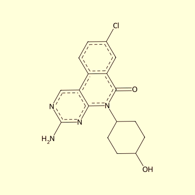 Nc1ncc2c3ccc(Cl)cc3c(=O)n(C3CCC(O)CC3)c2n1